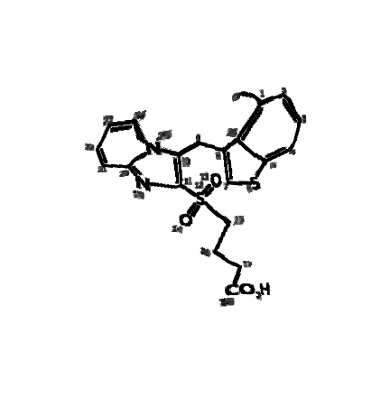 Cc1cccc2scc(Cc3c(S(=O)(=O)CCCC(=O)O)nc4ccccn34)c12